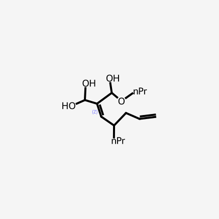 C=CCC(/C=C(/C(O)O)C(O)OCCC)CCC